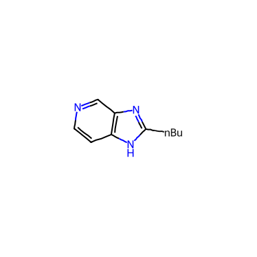 CCCCc1nc2cnccc2[nH]1